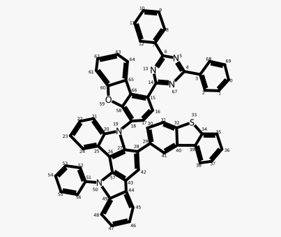 c1ccc(-c2nc(-c3ccccc3)nc(-c3ccc(-n4c5ccccc5c5c4c(-c4ccc6sc7ccccc7c6c4)cc4c6ccccc6n(-c6ccccc6)c45)c4oc5ccccc5c34)n2)cc1